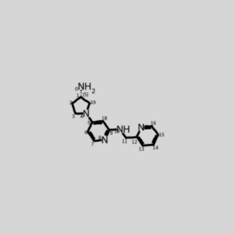 N[C@H]1CCN(c2ccnc(NCc3ccccn3)c2)C1